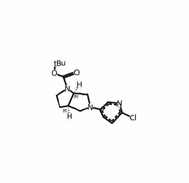 CC(C)(C)OC(=O)N1CC[C@@H]2CN(c3ccc(Cl)nc3)C[C@@H]21